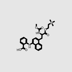 COC(=O)NC(Cc1ccc(Nc2ccccc2C(=O)O)c2ccccc12)C(=O)OCC[Si](C)(C)C